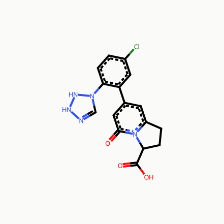 O=C(O)C1CCc2cc(-c3cc(Cl)ccc3N3C=NNN3)cc(=O)n21